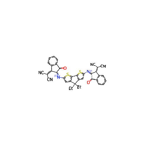 CCC1(CC)c2cc(/N=C3\C(=O)c4ccccc4C3=C(C#N)C#N)sc2-c2sc(/N=C3\C(=O)c4ccccc4C3=C(C#N)C#N)cc21